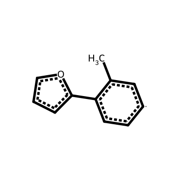 Cc1c[c]ccc1-c1ccco1